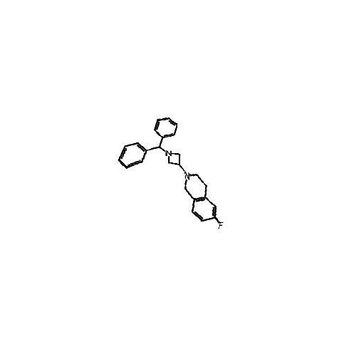 Fc1ccc2c(c1)CCN(C1CN(C(c3ccccc3)c3ccccc3)C1)C2